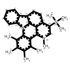 Cc1c(C)c(C)c2c(c1C)c1c3c(ccc4c5ccccc5n2c43)c([Si](C)(C)C)c[n+]1C